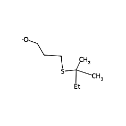 CCC(C)(C)SCCC[O]